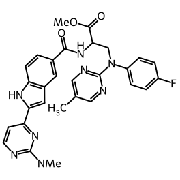 CNc1nccc(-c2cc3cc(C(=O)NC(CN(c4ccc(F)cc4)c4ncc(C)cn4)C(=O)OC)ccc3[nH]2)n1